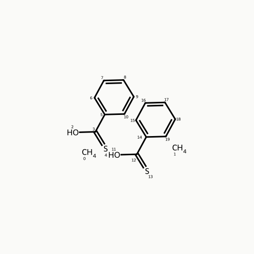 C.C.OC(=S)c1ccccc1.OC(=S)c1ccccc1